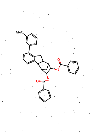 COc1cccc(-c2cccc3c2CC2C4CC(C(OC(=O)c5ccccc5)C4OC(=O)c4ccccc4)C32)c1